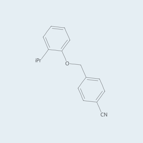 CC(C)c1ccccc1OCc1ccc(C#N)cc1